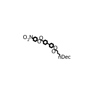 CCCCCCCCCCCCCC(=O)Oc1ccc(-c2ccc(C(=O)Oc3ccc([N+](=O)[O-])cc3)cc2)cc1